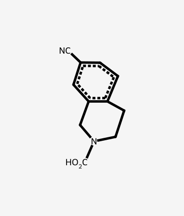 N#Cc1ccc2c(c1)CN(C(=O)O)CC2